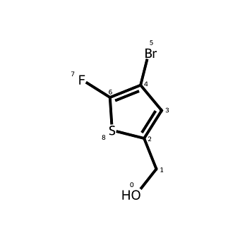 OCc1cc(Br)c(F)s1